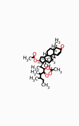 C=C(C(=O)C(OC(C)=O)C(C)[C@H]1[C@@H](OC(C)=O)C[C@@]2(C)[C@@H]3CC[C@H]4[C@H](C)C(=O)C=C[C@@]45C[C@@]35CC[C@]12C)C(C)CC